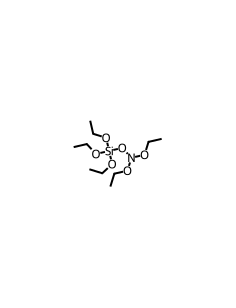 CCON(OCC)O[Si](OCC)(OCC)OCC